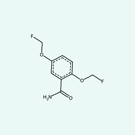 NC(=O)c1cc(OCF)ccc1OCF